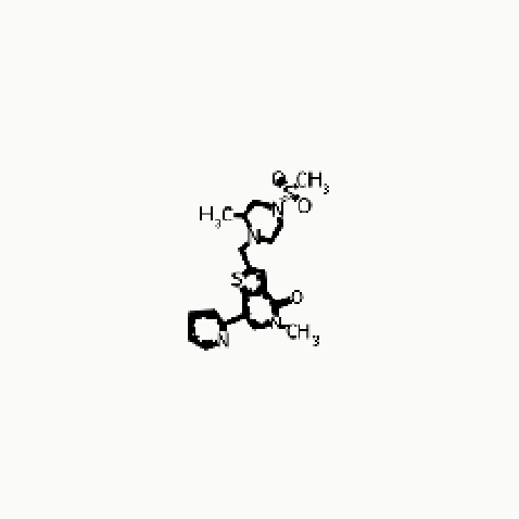 CC1CN(S(C)(=O)=O)CCN1Cc1cc2c(=O)n(C)cc(-c3ccccn3)c2s1